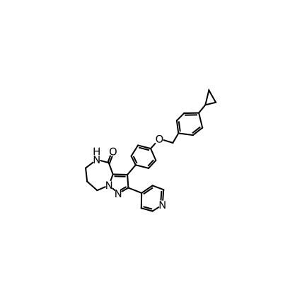 O=C1NCCCn2nc(-c3ccncc3)c(-c3ccc(OCc4ccc(C5CC5)cc4)cc3)c21